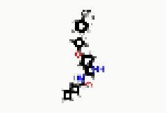 O=C(Nc1c[nH]c2ccc(O[C@H]3C[C@@H](c4ccc(C(F)(F)F)cc4)C3)cc12)C1CC2(CCC2)C1